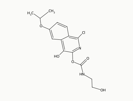 CC(C)Oc1ccc2c(Cl)nc(OC(=O)NCCO)c(O)c2c1